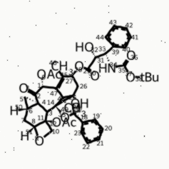 CC(=O)O[C@H]1C(=O)[C@]23C[C@H]2C[C@H]2OC[C@@]2(OC(C)=O)C3[C@@]2(OC(=O)c3ccccc3)[C@]3(O)C[C@H](OC(=O)[C@H](O)[C@@H](NC(=O)OC(C)(C)C)c4ccccc4)C(C)=C1[C@@]32C